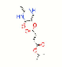 C=C1NC=C(OC(=O)/C=C/C(=O)OC(C)C)C(=O)N1